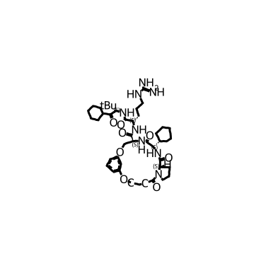 CC(C)(C)[C@H](NC(=O)[C@H](CCCNC(=N)N)NC(=O)[C@@H]1COc2cccc(c2)OCCCC(=O)N2CCC[C@H]2C(=O)N[C@@H](C2CCCCC2)C(=O)N1)C(=O)C1CCCCC1